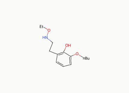 CCCCOc1cccc(CCNOCC)c1O